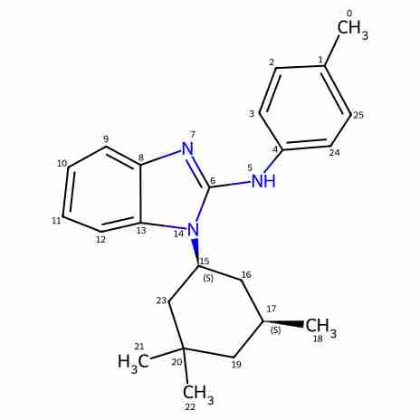 Cc1ccc(Nc2nc3ccccc3n2[C@H]2C[C@@H](C)CC(C)(C)C2)cc1